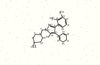 CCC1CCC(Cn2nc(-c3cccc(F)c3F)c(C3=CCCC=C3)c2C)CC1